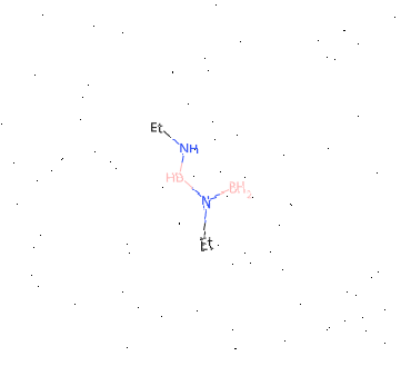 BN(BNCC)CC